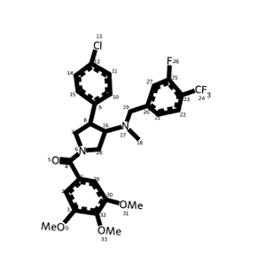 COc1cc(C(=O)N2CC(c3ccc(Cl)cc3)C(N(C)Cc3ccc(C(F)(F)F)c(F)c3)C2)cc(OC)c1OC